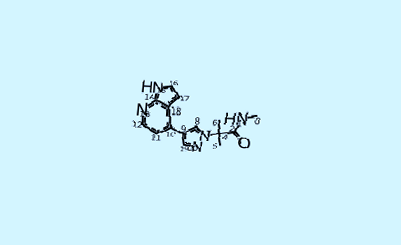 CNC(=O)C(C)(C)n1cc(-c2ccnc3[nH]ccc23)cn1